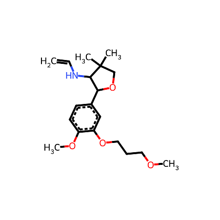 C=CNC1C(c2ccc(OC)c(OCCCOC)c2)OCC1(C)C